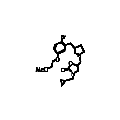 COCCOc1ccc(Br)c(CC2CCN(CC3CN(CC4CC4)C(=O)O3)C2)c1